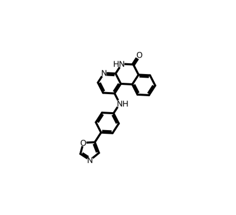 O=c1[nH]c2nccc(Nc3ccc(-c4cnco4)cc3)c2c2ccccc12